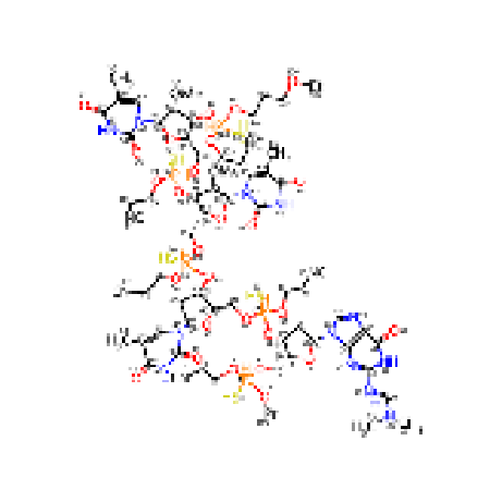 [C-]#[N+]CCO[PH](S)(OC[C@H]1O[C@@H](n2cnc3c(=O)[nH]c(/N=C/N(C)C)nc32)C[C@H]1O[PH](S)(OCC[N+]#[C-])OC[C@H]1O[C@@H](n2cc(C)c(=O)[nH]c2=O)C[C@H]1O[PH](S)(OCC[N+]#[C-])OC[C@H]1O[C@@H](n2cc(C)c(=O)[nH]c2=O)C(OC)[C@H]1O[PH](S)(OCC[N+]#[C-])OC[C@H]1O[C@@H](n2cc(C)c(=O)[nH]c2=O)C(OC)[C@H]1O[PH](S)(OCCCOCC)OCC[N+]#[C-])OC(C)C